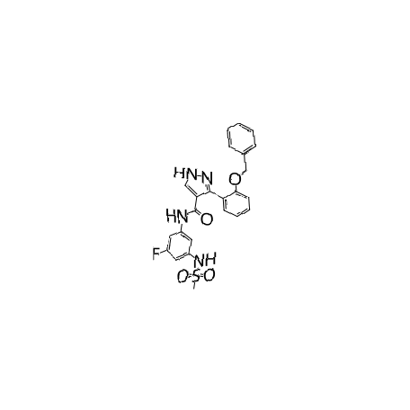 CS(=O)(=O)Nc1cc(F)cc(NC(=O)c2c[nH]nc2-c2ccccc2OCc2ccccc2)c1